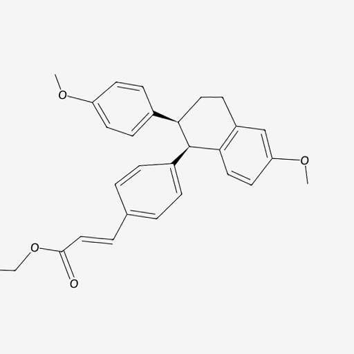 CCOC(=O)C=Cc1ccc([C@@H]2c3ccc(OC)cc3CC[C@@H]2c2ccc(OC)cc2)cc1